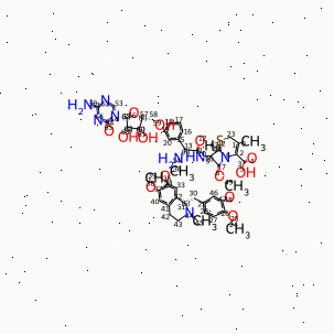 CC1=C(C(=O)O)N2C(=O)[C@@H](NC(=O)[C@H](N)c3ccccc3)[C@H]2SC1.COc1ccc(C[C@H]2c3cc(OC)c(OC)cc3CCN2C)cc1OC.Nc1ncn([C@@H]2O[C@H](CO)[C@@H](O)[C@@H]2O)c(=O)n1